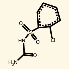 NC(=O)NS(=O)(=O)c1ccccc1Cl